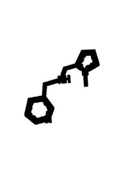 Cn1cccc1CNCc1cccnc1